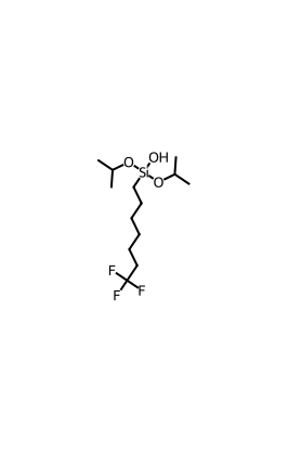 CC(C)O[Si](O)(CCCCCCC(F)(F)F)OC(C)C